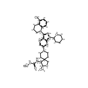 C[C@@H]1OCC2(CCN(c3cnc4c(N5CCCc6c(Cl)cccc65)nn(C5CCCCO5)c4n3)CC2)[C@@H]1NC(=O)OC(C)(C)C